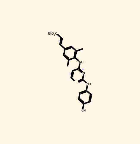 C=C(/N=C(\C=C/C)Nc1c(C)cc(/C=C/C(=O)OCC)cc1C)Nc1ccc(C#N)cc1